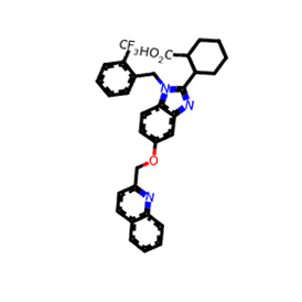 O=C(O)C1CCCCC1c1nc2cc(OCc3ccc4ccccc4n3)ccc2n1Cc1ccccc1C(F)(F)F